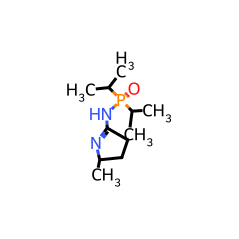 CC1CCC(NP(=O)(C(C)C)C(C)C)=N1